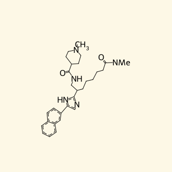 CNC(=O)CCCCCC(CNC(=O)C1CCN(C)CC1)c1ncc(-c2ccc3ccccc3c2)[nH]1